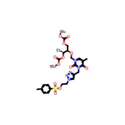 CC[C@H](OC(=O)OC(C)(C)C)C(COC(=O)OC(C)(C)C)OCn1cc(C)c(=O)n(Cc2cn(CCOS(=O)(=O)c3ccc(C)cc3)nn2)c1=O